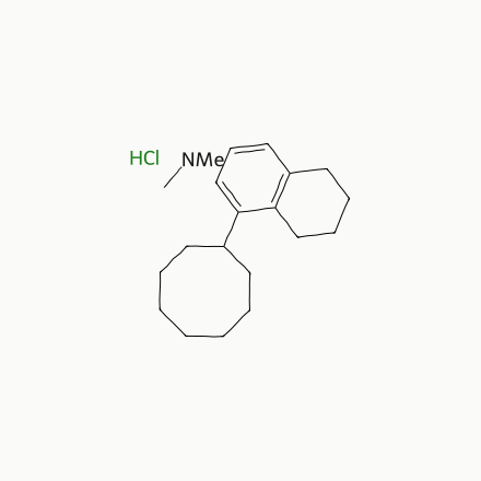 CNC.Cl.c1cc2c(c(C3CCCCCCC3)c1)CCCC2